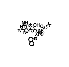 C[C@H](NP(=O)(CSOc1cccc2ccccc12)OC[C@H]1O[C@@H](n2cnc3c(N(C)C)nc(N)nc32)[C@](C)(F)[C@@H]1O)C(=O)OCC(C)(C)C